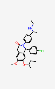 CCNC(C)c1ccc(N2C(=O)Cc3cc(OC)c(OC(C)CC)cc3C2c2ccc(Cl)cc2)cc1